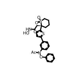 CC(=O)N(Oc1ccccc1)c1cccc(-c2ccc([C@@]3(CC(=O)NO)CCCCS3(=O)=O)s2)c1